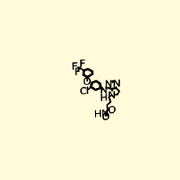 CONC(=O)CCCN1CCc2ncnc(Nc3ccc(Oc4cccc(C(F)(F)F)c4)c(Cl)c3)c21